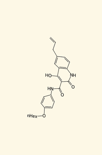 C=CCc1ccc2[nH]c(=O)c(C(=O)Nc3ccc(OCCCCCC)cc3)c(O)c2c1